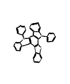 c1ccc(-n2c3ccccc3c3c2c2sc4ccccc4c2c2c4ccccc4n(-c4ccccc4)c23)cc1